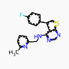 Cc1cccc(CNc2n[c]nc3scc(-c4ccc(F)cc4)c23)n1